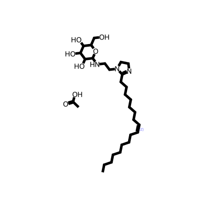 CC(=O)O.CCCCCCCC/C=C\CCCCCCCC1=NCCN1CCNC1OC(CO)C(O)C(O)C1O